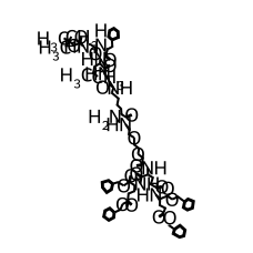 CC(C)CC(NC(=O)C(Cc1ccccc1)NC(=O)CNC(=O)OC(C)(C)C)C(=O)NCC(=O)NCCCCC(N)C(=O)NCCOCCOCC(=O)NC(CCC(=O)NC(CCC(=O)OCc1ccccc1)C(=O)OCc1ccccc1)C(=O)NC(CCC(=O)OCc1ccccc1)C(=O)OCc1ccccc1